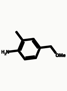 COCc1ccc(N)c(C)c1